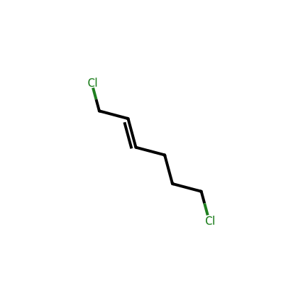 ClCC=CCCCCl